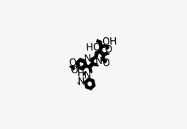 CC[C@]1(O)c2cc3n(c(=O)c2COC1O)Cc1c-3nc2cc3c(cc2c1CN(C)[C@@H]1CCCC[C@H]1NC)OCO3